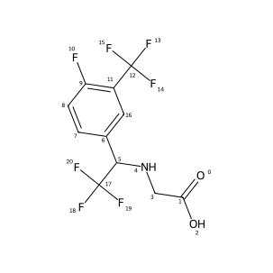 O=C(O)CNC(c1ccc(F)c(C(F)(F)F)c1)C(F)(F)F